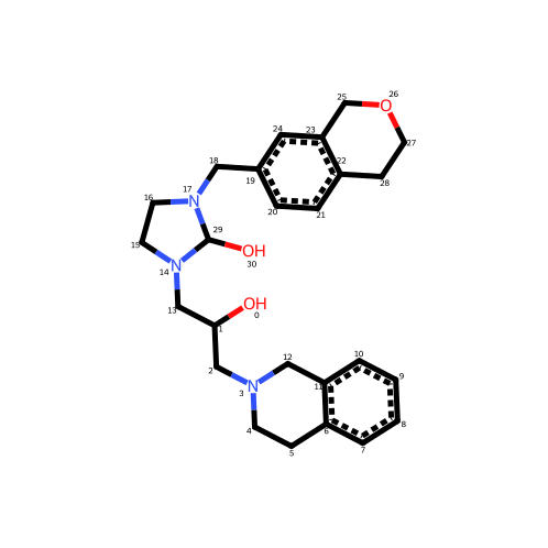 OC(CN1CCc2ccccc2C1)CN1CCN(Cc2ccc3c(c2)COCC3)C1O